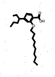 CCCCCCCCCCOc1cc(C(CC)CCC)ccc1C(=O)O